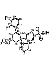 NS(=O)(=O)c1ccc(C2(N3CCC=N3)C=C(c3cccc(F)c3F)C=C(OC(F)(F)F)C2)cc1